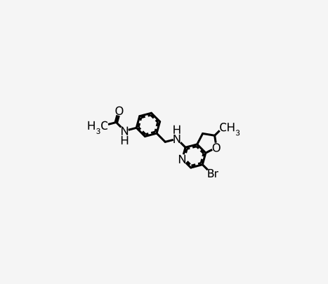 CC(=O)Nc1cccc(CNc2ncc(Br)c3c2CC(C)O3)c1